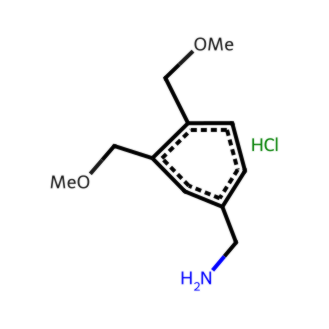 COCc1ccc(CN)cc1COC.Cl